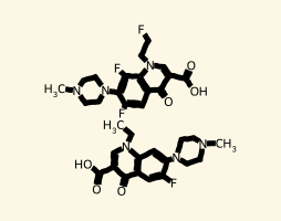 CCn1cc(C(=O)O)c(=O)c2cc(F)c(N3CCN(C)CC3)cc21.CN1CCN(c2c(F)cc3c(=O)c(C(=O)O)cn(CCF)c3c2F)CC1